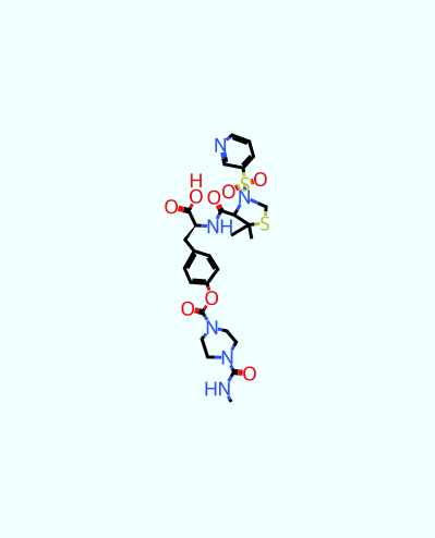 CNC(=O)N1CCN(C(=O)Oc2ccc(C[C@H](NC(=O)C3N(S(=O)(=O)c4cccnc4)CSC3(C)C)C(=O)O)cc2)CC1